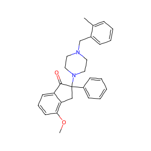 COc1cccc2c1CC(c1ccccc1)(N1CCN(Cc3ccccc3C)CC1)C2=O